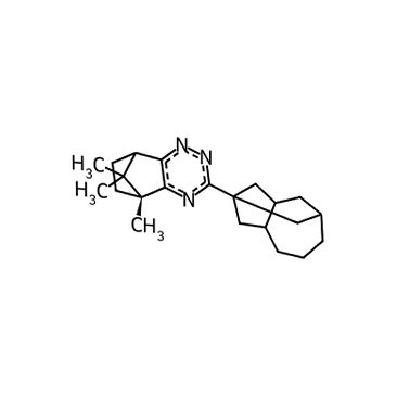 CC1(C)C2CC[C@@]1(C)c1nc(C34CC5CCCC(C3)C(C5)C4)nnc12